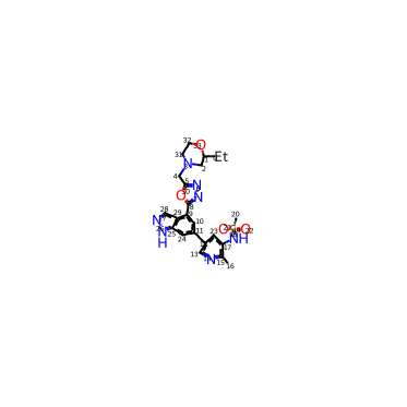 CCC1CN(Cc2nnc(-c3cc(-c4cnc(C)c(NS(C)(=O)=O)c4)cc4[nH]ncc34)o2)CCO1